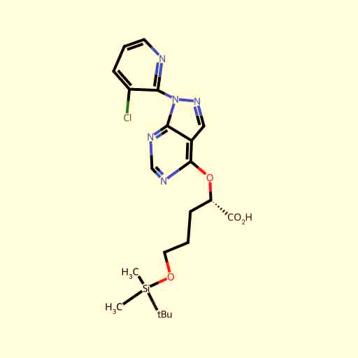 CC(C)(C)[Si](C)(C)OCCC[C@H](Oc1ncnc2c1cnn2-c1ncccc1Cl)C(=O)O